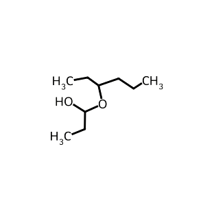 CCCC(CC)OC(O)CC